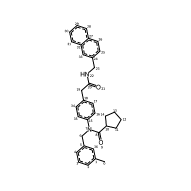 Cc1cccc(CN(C(=O)C2CCCC2)c2ccc(CC(=O)NCc3ccc4ccccc4c3)cc2)c1